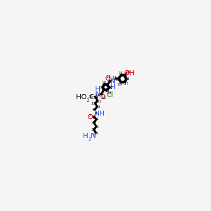 NCCCCCC(=O)NCCCC[C@H](NC(=O)c1ccc(C(=O)NCc2cccc(O)c2)cc1Cl)C(=O)O